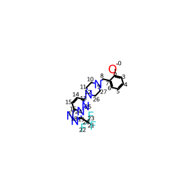 COc1ccccc1CN1CCN(c2ccc3nnc(C(F)(F)F)n3n2)CC1